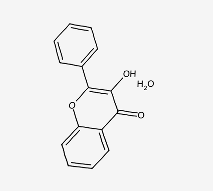 O.O=c1c(O)c(-c2ccccc2)oc2ccccc12